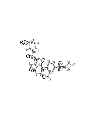 CC1Cn2ncc(NC(=O)c3cccc(C#N)c3)c2C(=O)N1c1ccc(C(F)(F)C2CCC2)cc1